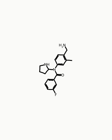 Cc1cc(N(C(=O)c2cccc(F)c2)C2CCCN2)ccc1CN